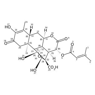 CC(C)=CC(=O)O[C@H]1C(=O)O[C@@H]2C[C@H]3C(C)=C(O)C(=O)C[C@]3(C)C3[C@@H](O)[C@H](O)[C@@]4(C(=O)O)OC[C@]32[C@@H]14